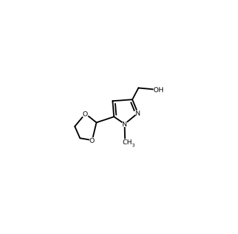 Cn1nc(CO)cc1C1OCCO1